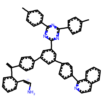 C=C(c1ccc(-c2cc(-c3ccc(-c4nccc5ccccc45)cc3)cc(-c3nc(-c4ccc(C)cc4)nc(-c4ccc(C)cc4)n3)c2)cc1)c1ccccc1/C=C\N